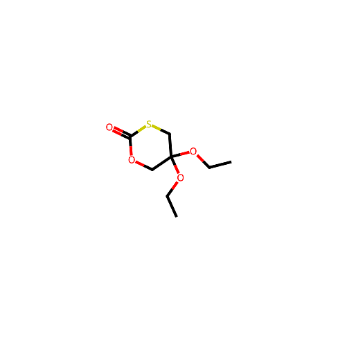 CCOC1(OCC)COC(=O)SC1